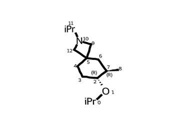 CC(C)O[C@@H]1CCC2(C[C@H]1C)CN(C(C)C)C2